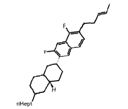 C/C=C/CCc1ccc2cc([C@@H]3CC[C@@H]4CC(CCCCCCC)CCC4C3)c(F)cc2c1F